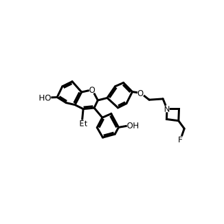 CCC1=C(c2cccc(O)c2)C(c2ccc(OCCN3CC(CF)C3)cc2)Oc2ccc(O)cc21